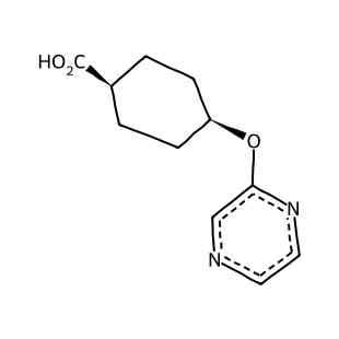 O=C(O)[C@H]1CC[C@@H](Oc2cnccn2)CC1